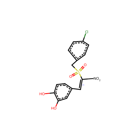 O=[N+]([O-])/C(=C/c1ccc(O)c(O)c1)S(=O)(=O)Cc1ccc(Cl)cc1